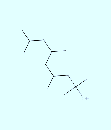 CC(C)CC(C)CC(C)CC(C)(C)O